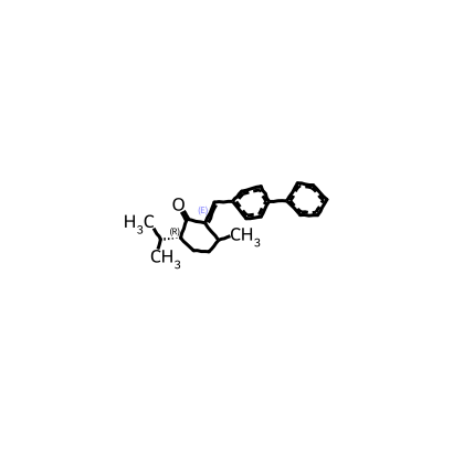 CC1CC[C@H](C(C)C)C(=O)/C1=C/c1ccc(-c2ccccc2)cc1